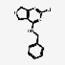 Clc1nc2c(c(NCc3ccccc3)n1)COC2